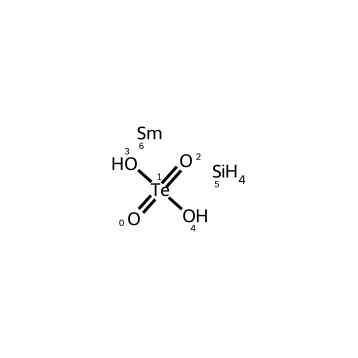 O=[Te](=O)(O)O.[SiH4].[Sm]